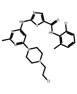 Cc1nc(Nc2ncc(C(=O)Nc3c(C)cccc3Cl)s2)cc(N2CCN(CCCl)CC2)n1